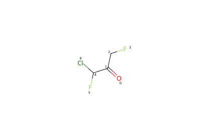 O=C(CF)C(F)Cl